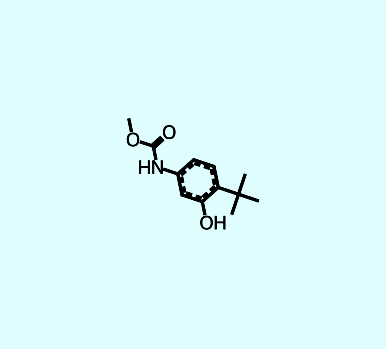 COC(=O)Nc1ccc(C(C)(C)C)c(O)c1